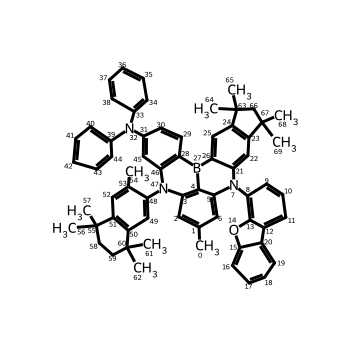 Cc1cc2c3c(c1)N(c1cccc4c1oc1ccccc14)c1cc4c(cc1B3c1ccc(N(c3ccccc3)c3ccccc3)cc1N2c1cc2c(cc1C)C(C)(C)CCC2(C)C)C(C)(C)CC4(C)C